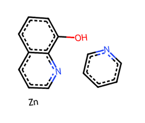 Oc1cccc2cccnc12.[Zn].c1ccncc1